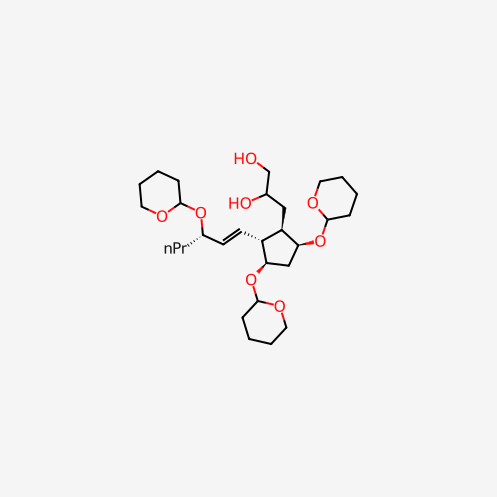 CCC[C@@H](/C=C/[C@@H]1[C@@H](CC(O)CO)[C@@H](OC2CCCCO2)C[C@H]1OC1CCCCO1)OC1CCCCO1